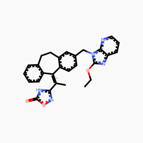 CCOc1nc2cccnc2n1Cc1ccc2c(c1)CCc1ccccc1/C2=C(/C)c1noc(=O)[nH]1